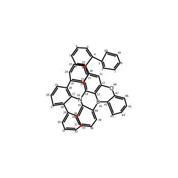 c1ccc(-c2ccccc2-c2cc3c4c(c2)N(c2c(-c5ccccc5)cccc2-c2ccccc2)c2ccccc2B4c2ccccc2O3)cc1